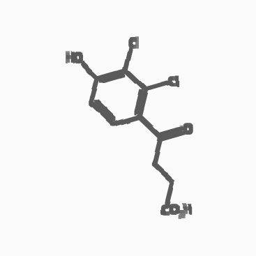 O=C(O)CCC(=O)c1ccc(O)c(Cl)c1Cl